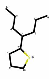 CCCC(CCC)C1CCCS1